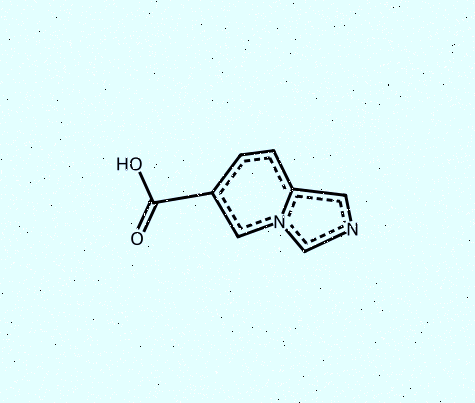 O=C(O)c1ccc2cncn2c1